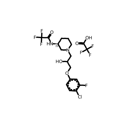 O=C(N[C@H]1CCCN(CC(O)COc2ccc(Cl)c(F)c2)C1)C(F)(F)F.O=C(O)C(F)(F)F